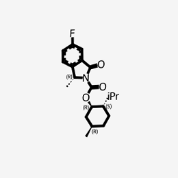 CC(C)[C@@H]1CC[C@@H](C)C[C@H]1OC(=O)N1C(=O)c2cc(F)ccc2[C@H]1C